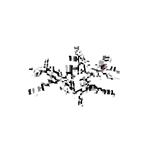 CO[C@@H](O[C@@H]1C(CO)OC(NC(=O)CC(NC(=O)C(C)NC(=O)C(NC(=O)C(N)CCCCN)C(C)C)C(=O)NC(CCCCN)C(=O)NC(C(=O)O)C(C)O)[C@@H](NC(C)=O)[C@H]1O)[C@@H](NC(C)=O)C(O)[C@@H](CCO)OC